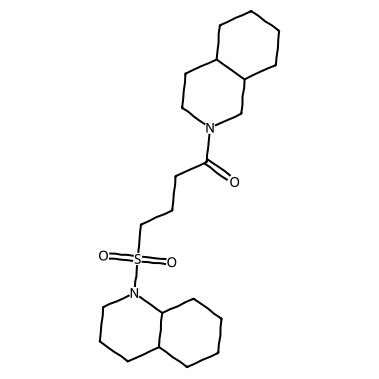 O=C(CCCS(=O)(=O)N1CCCC2CCCCC21)N1CCC2CCCCC2C1